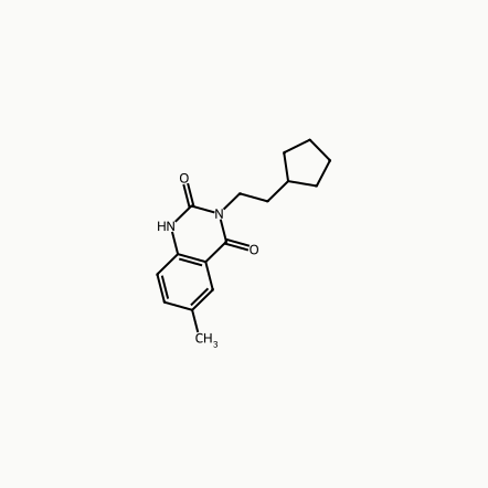 Cc1ccc2[nH]c(=O)n(CCC3CCCC3)c(=O)c2c1